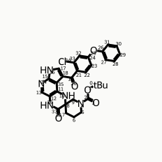 CC(C)(C)OC(=O)N1CCCC2(C1)Nc1c(cnc3[nH]cc(C(=O)c4ccc(Oc5ccccc5)cc4Cl)c13)NC2=O